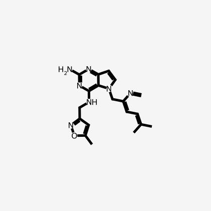 C=N/C(=C\C=C(C)C)Cn1ccc2nc(N)nc(NCc3cc(C)on3)c21